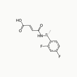 C[C@@H](NC(=O)C=CC(=O)O)c1ccc(F)cc1F